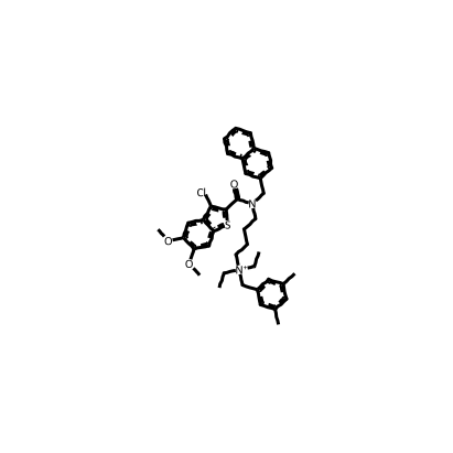 CC[N+](CC)(CCCCN(Cc1ccc2ccccc2c1)C(=O)c1sc2cc(OC)c(OC)cc2c1Cl)Cc1cc(C)cc(C)c1